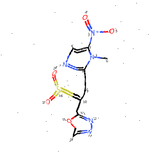 Cn1c([N+](=O)[O-])cnc1CC(c1nnco1)=S(=O)=O